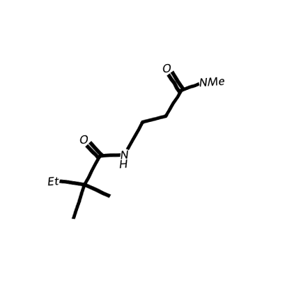 CCC(C)(C)C(=O)NCCC(=O)NC